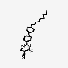 CCCCCCCCCc1ccc(-c2ccc(-c3ncc(C#N)c(F)n3)cc2)cc1